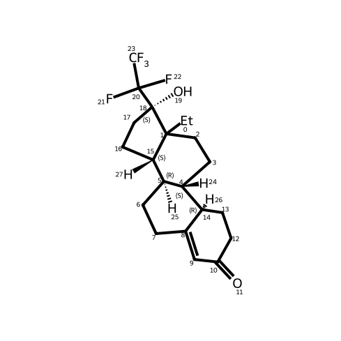 CCC12CC[C@H]3[C@@H](CCC4=CC(=O)CC[C@@H]43)[C@@H]1CC[C@@]2(O)C(F)(F)C(F)(F)F